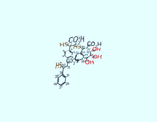 O=C(O)CC(S)c1ccccc1.O=C(O)CC(S)c1ccccc1.O=C(O)CC(S)c1ccccc1.OCC(O)CO